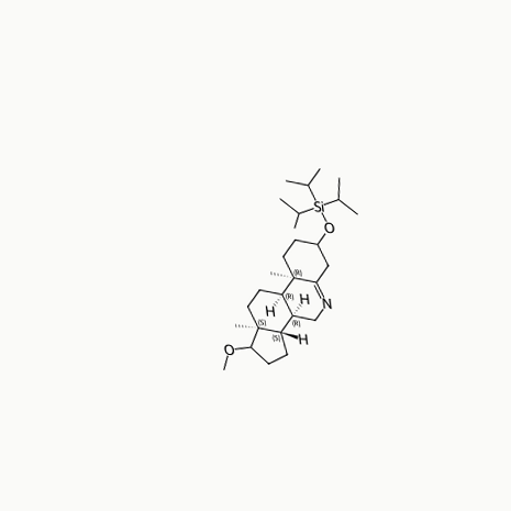 COC1CC[C@H]2[C@@H]3CN=C4CC(O[Si](C(C)C)(C(C)C)C(C)C)CC[C@]4(C)[C@@H]3CC[C@]12C